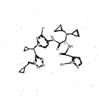 CC(C)n1nccc1C(=O)N[C@H](C(=O)Nc1cn(C(c2nnnn2CC2CC2)C2CC2)nc1F)C(C1CC1)C1CC1